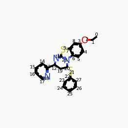 CCOc1ccc2c(c1)SC1=NC(c3ccccn3)CC(Sc3ccccc3)N12